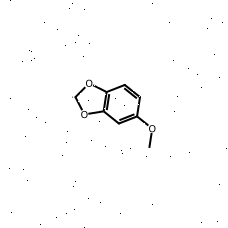 COc1ccc2c(c1)O[CH]O2